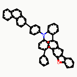 c1ccc(-c2ccc(N(c3ccc(-c4ccc5c(ccc6ccccc65)c4)cc3)c3ccccc3-c3ccc4cc5oc6ccccc6c5cc4c3)cc2)cc1